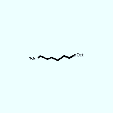 [CH2]CCCCCCC[CH]CCCCCCCCCCCCC